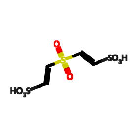 O=S(=O)(O)C=CS(=O)(=O)C=CS(=O)(=O)O